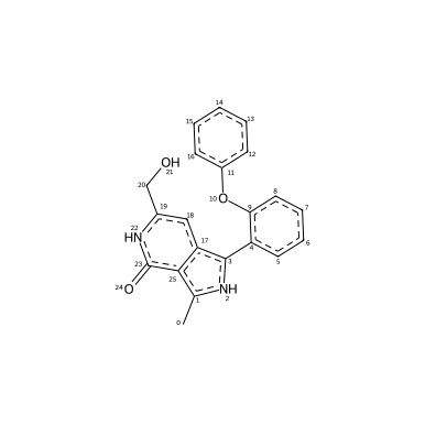 Cc1[nH]c(-c2ccccc2Oc2ccccc2)c2cc(CO)[nH]c(=O)c12